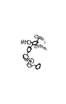 COc1cc(C(N)=O)cc(OC)c1-c1ccc(C2=CN(C(=O)N3CCCCC3Cc3ccccc3)N=C=CC2)cc1